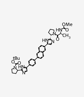 COC(=O)N[C@@H](C)C(=O)N1CCC[C@H]1c1ncc(-c2ccc3cc(-c4ccc(-c5cnc(C6CCCN6C(=O)OC(C)(C)C)[nH]5)cc4)ccc3c2)[nH]1